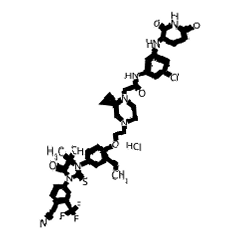 CCc1cc(N2C(=S)N(c3ccc(C#N)c(C(F)(F)F)c3)C(=O)C2(C)C)ccc1OCCN1CCN(CC(=O)Nc2cc(Cl)cc(NC3CCC(=O)NC3=O)c2)C2(CC2)C1.Cl